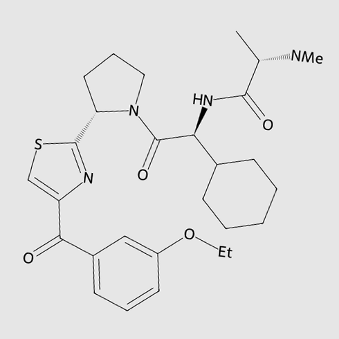 CCOc1cccc(C(=O)c2csc([C@@H]3CCCN3C(=O)[C@@H](NC(=O)[C@H](C)NC)C3CCCCC3)n2)c1